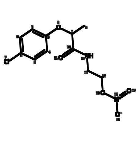 CC(Oc1ccc(Cl)cc1)C(=O)NCCO[N+](=O)[O-]